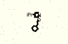 CC(C)c1ccnc(OCCC2CCCCC2)c1